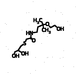 CC(C)(CCNC(=O)CSCC(O)CO)OCCO